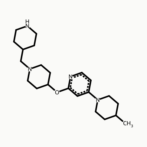 CC1CCN(c2ccnc(OC3CCN(CC4CCNCC4)CC3)c2)CC1